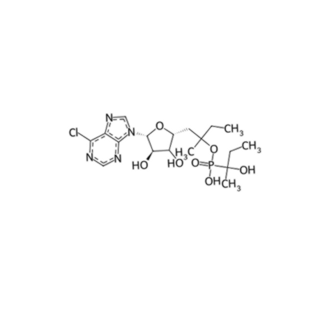 CCC(C)(C[C@H]1O[C@@H](n2cnc3c(Cl)ncnc32)[C@H](O)C1O)OP(=O)(O)C(C)(O)CC